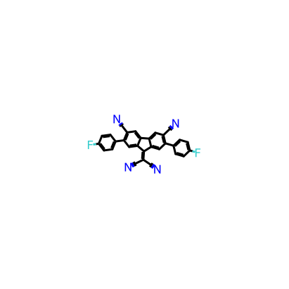 N#CC(C#N)=C1c2cc(-c3ccc(F)cc3)c(C#N)cc2-c2cc(C#N)c(-c3ccc(F)cc3)cc21